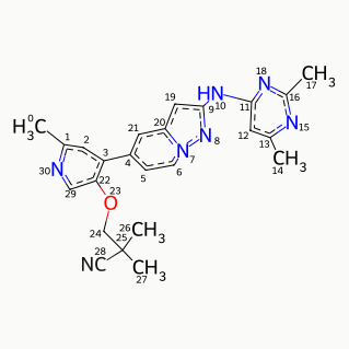 Cc1cc(-c2ccn3nc(Nc4cc(C)nc(C)n4)cc3c2)c(OCC(C)(C)C#N)cn1